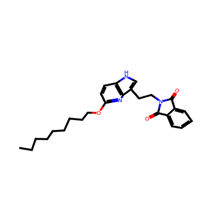 CCCCCCCCCOc1ccc2[nH]cc(CCN3C(=O)c4ccccc4C3=O)c2n1